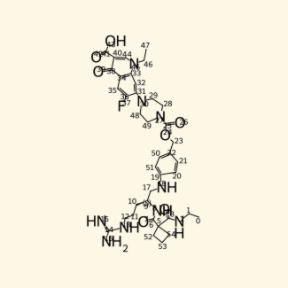 CCNC(=O)C1(C(=O)N[C@@H](CCCNC(=N)N)CNc2ccc(COC(=O)N3CCN(c4cc5c(cc4F)c(=O)c(C(=O)O)cn5CC)CC3)cc2)CCC1